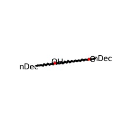 CCCCCCCCCCCCCCCCCCCCCCCCCCCCCCCCCC(O)CCCCCCCCCCCCCCCCCCCC